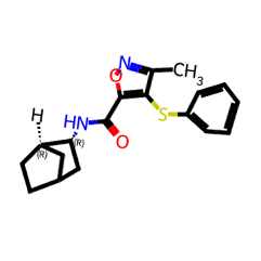 Cc1noc(C(=O)N[C@@H]2CC3CC[C@@H]2C3)c1Sc1ccccc1